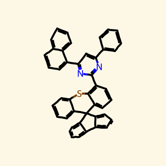 c1ccc(-c2cc(-c3cccc4ccccc34)nc(-c3cccc4c3Sc3ccccc3C43c4ccccc4-c4ccccc43)n2)cc1